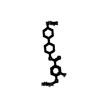 CCCCCCCOc1ccc(C(=O)OC2CCC(C3CCC(CCCCCCC)CC3)CC2)cc1F